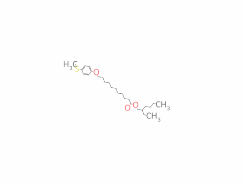 CCCCC(CC)COC(=O)CCCCCCCCCCOc1ccc(SC)cc1